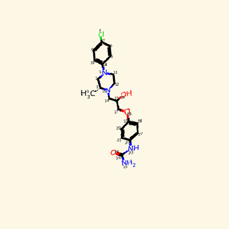 C[C@@H]1CN(c2ccc(Cl)cc2)CCN1CC(O)COc1ccc(NC(N)=O)cc1